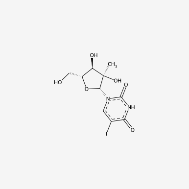 C[C@@]1(O)[C@H](O)[C@@H](CO)O[C@H]1n1cc(I)c(=O)[nH]c1=O